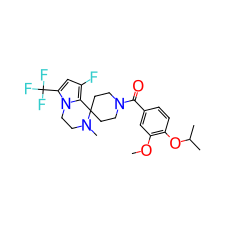 COc1cc(C(=O)N2CCC3(CC2)c2c(F)cc(C(F)(F)F)n2CCN3C)ccc1OC(C)C